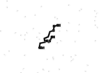 CCCCCCCCCCCCCOOO.O=S(=O)(O)O